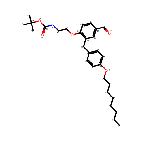 CCCCCCCCOc1ccc(Cc2cc(C=O)ccc2OCCNC(=O)OC(C)(C)C)cc1